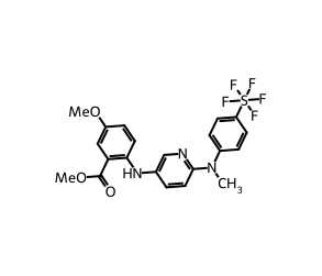 COC(=O)c1cc(OC)ccc1Nc1ccc(N(C)c2ccc(S(F)(F)(F)(F)F)cc2)nc1